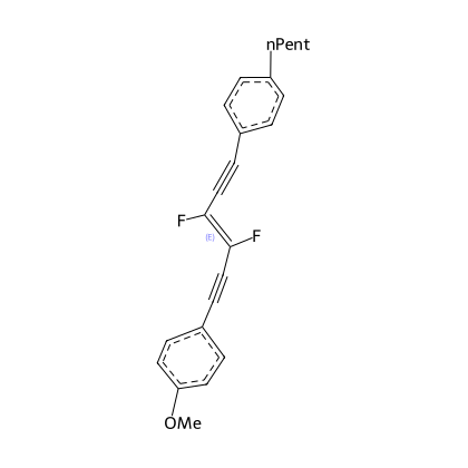 CCCCCc1ccc(C#C/C(F)=C(\F)C#Cc2ccc(OC)cc2)cc1